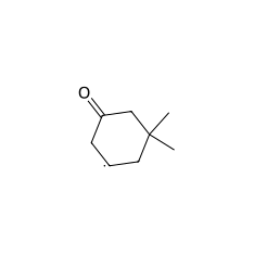 CC1(C)C[CH]CC(=O)C1